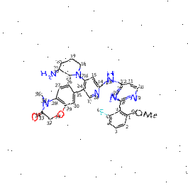 COc1cccc(F)c1-c1nccc(Nc2cc(N3CCC[C@H](N)C3)c(-c3ccc4c(c3)OCC(=O)N4C)cn2)n1